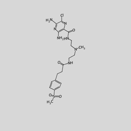 CN(CCNC(=O)CCc1ccc(S(C)(=O)=O)cc1)CCNC(=O)c1nc(Cl)c(N)nc1N